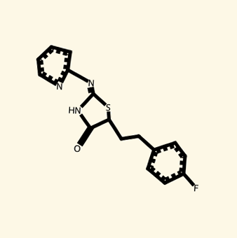 O=C1N/C(=N\c2ccccn2)SC1CCc1ccc(F)cc1